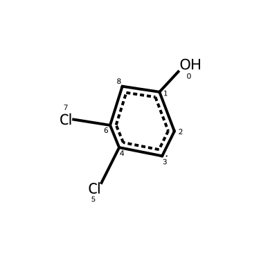 Oc1c[c]c(Cl)c(Cl)c1